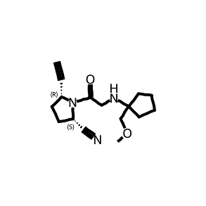 C#C[C@H]1CC[C@@H](C#N)N1C(=O)CNC1(COC)CCCC1